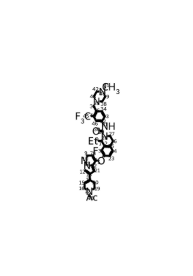 CCC1c2cc(Oc3c(F)cnn4cc(C5=CCN(C(C)=O)CC5)cc34)ccc2CCN1C(=O)Nc1ccc(CN2CCN(C)CC2)c(C(F)(F)F)c1